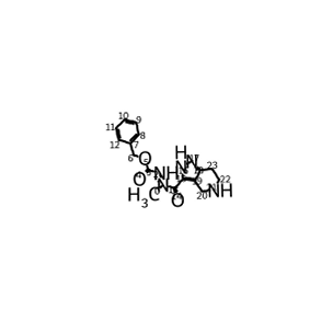 CN(NC(=O)OCc1ccccc1)C(=O)c1[nH]nc2c1CNCC2